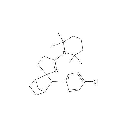 CC1(C)CCCC(C)(C)N1C1=NC2(CC1)C1CCC(C1)C2c1ccc(Cl)cc1